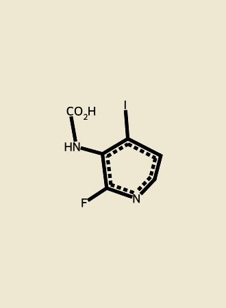 O=C(O)Nc1c(I)ccnc1F